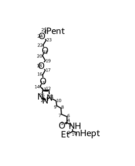 CCCCCCCC(CC)NC(=O)CCCCCn1cc(COCCOCCOCCOC(C)CCC)nn1